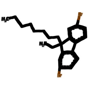 BCC1(CCCCCCCC)c2cc(Br)ccc2-c2ccc(Br)cc21